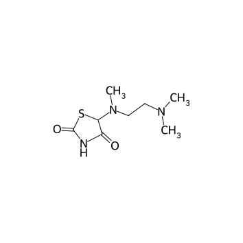 CN(C)CCN(C)C1SC(=O)NC1=O